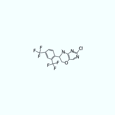 CN1c2nc(Cl)ncc2OCC1c1ccc(C(F)(F)F)cc1C(F)(F)F